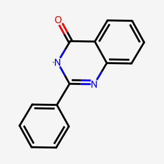 O=C1[N]C(c2ccccc2)=Nc2ccccc21